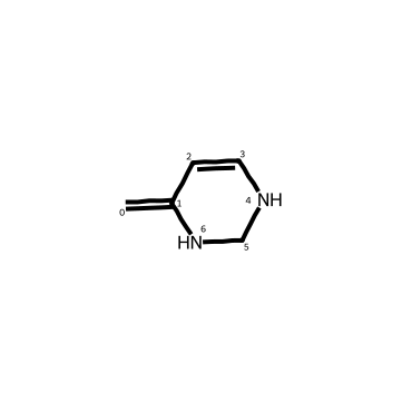 C=C1C=CNCN1